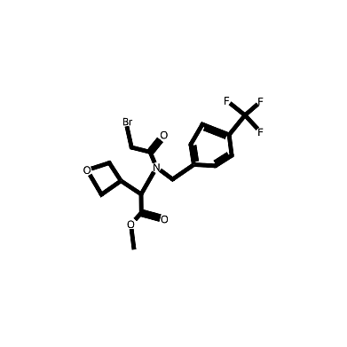 COC(=O)C(C1COC1)N(Cc1ccc(C(F)(F)F)cc1)C(=O)CBr